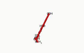 CC(=O)CC[C@H](NC(=O)CCC(=O)NCCCOCCOCCOCCCNC(=O)CCCCCCCCCCCCCCCCC(=O)O)C(=O)O